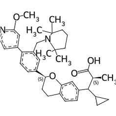 COc1cc(-c2ccc([C@@H]3CCc4ccc(C(C5CC5)[C@H](C)C(=O)O)cc4O3)cc2CN2C(C)(C)CCCC2(C)C)ccn1